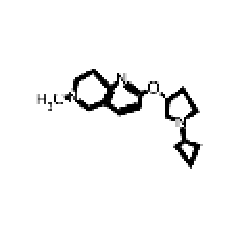 CN1CCc2nc(O[C@H]3CCN(C4CCC4)C3)ccc2C1